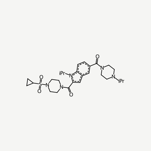 CC(C)N1CCN(C(=O)c2ccc3c(c2)cc(C(=O)N2CCN(S(=O)(=O)C4CC4)CC2)n3C(C)C)CC1